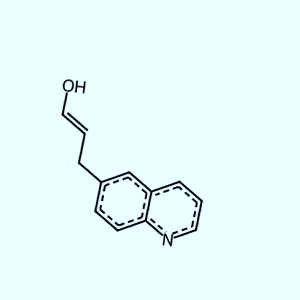 O/C=C/Cc1ccc2ncccc2c1